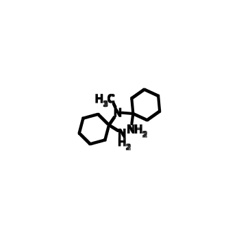 CN(C1(N)CCCCC1)C1(N)CCCCC1